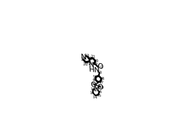 O=C(NCc1ccc(S(=O)(=O)N2CCCCC2)cc1)c1ccc2cnccc2n1